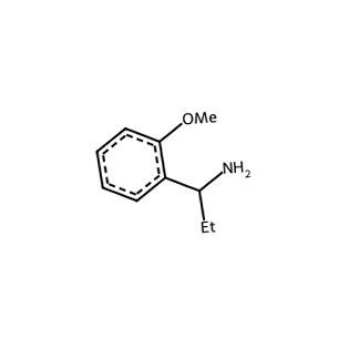 CCC(N)c1ccccc1OC